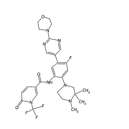 CN1CCN(c2cc(F)c(-c3cnc(N4CCOCC4)nc3)cc2NC(=O)c2ccc(=O)n(C(F)(F)F)c2)CC1(C)C